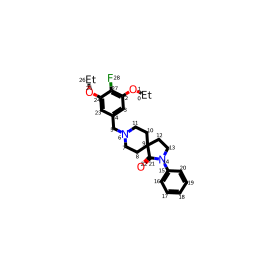 CCOc1cc(CN2CCC3(CC2)CCN(c2ccccc2)C3=O)cc(OCC)c1F